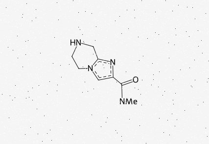 CNC(=O)c1cn2c(n1)CNCC2